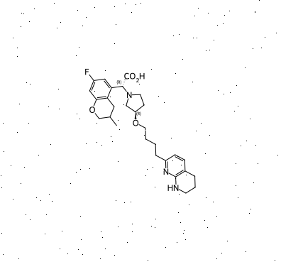 CC1COc2cc(F)cc([C@H](C(=O)O)N3CC[C@@H](OCCCCc4ccc5c(n4)NCCC5)C3)c2C1